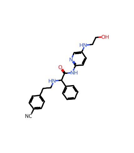 N#Cc1ccc(CCNC(C(=O)Nc2ccc(NCCO)cn2)c2ccccc2)cc1